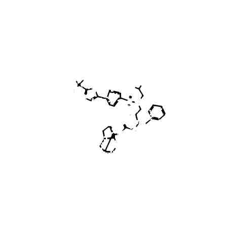 CC(C)CN(C[C@@H](O)[C@H](Cc1ccccc1)NC(=O)OC1C2CC3C[C@@H]1COC3O2)S(=O)(=O)c1ccc(-c2cnc(C(F)(F)F)o2)cc1